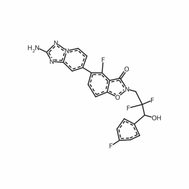 Nc1nc2cc(-c3ccc4on(CC(F)(F)C(O)c5ccc(F)cc5)c(=O)c4c3F)ccn2n1